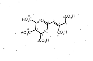 O=C(O)CC(=CC(=O)OC(C(=O)O)C(CC(=O)O)C(=O)O)C(=O)O